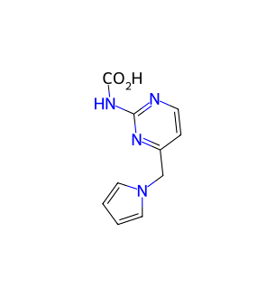 O=C(O)Nc1nccc(Cn2cccc2)n1